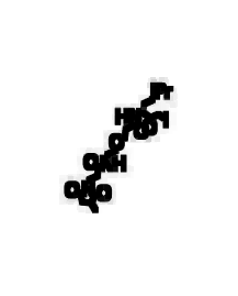 CC(C)CC[C@H](NC(=O)CCOCCNC(=O)CCN1C(=O)CC(C)C1=O)C(=O)CI